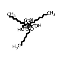 CCCCCCCCC(=O)O[C@H](CO)[C@](O)(C(=O)CCCCCCCC)[C@H](O)[C@@](O)(CO)C(=O)CCCCCCCC